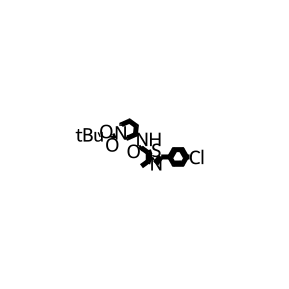 Cc1nc(-c2ccc(Cl)cc2)sc1C(=O)N[C@H]1CCCN(C(=O)OC(C)(C)C)C1